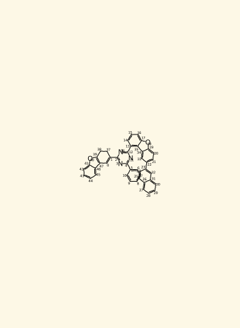 C1=C(c2nc(-c3ccccc3)nc(-c3cccc4oc5ccc(-c6ccc7ccccc7c6)cc5c34)n2)CCc2oc3ccccc3c21